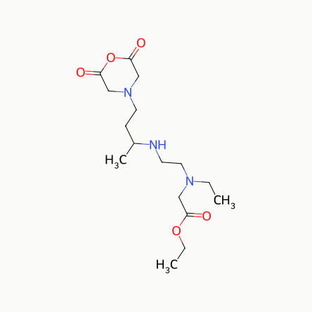 CCOC(=O)CN(CC)CCNC(C)CCN1CC(=O)OC(=O)C1